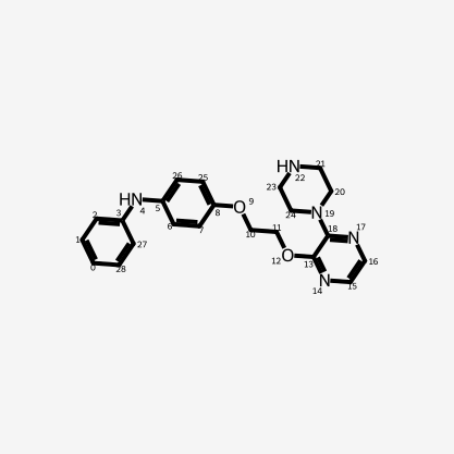 c1ccc(Nc2ccc(OCCOc3nccnc3N3CCNCC3)cc2)cc1